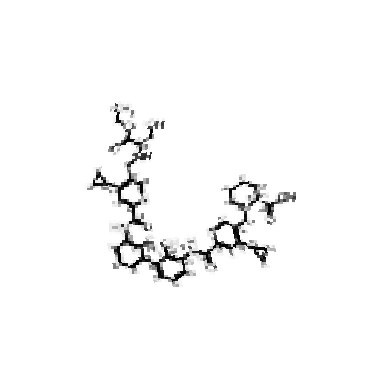 CCOC(=O)[C@@H](CO)NCc1cnc(C(=O)Nc2cccc(-c3cccc(NC(=O)c4cc(C5CC5)c(CN5CCCC[C@H]5C(=O)O)cn4)c3C)c2C)cc1C1CC1